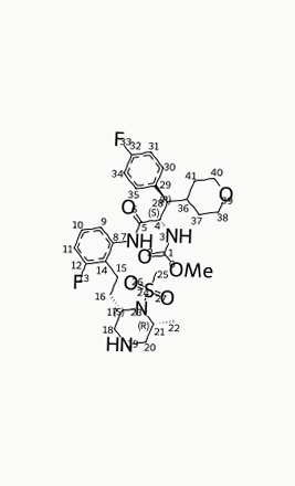 COC(=O)N[C@H](C(=O)Nc1cccc(F)c1CC[C@H]1CNC[C@@H](C)N1S(C)(=O)=O)[C@@H](c1ccc(F)cc1)C1CCOCC1